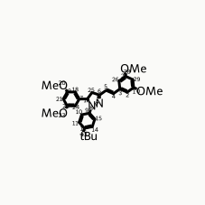 COc1cc(C=CC2=NN(c3ccc(C(C)(C)C)cc3)C(c3cc(OC)cc(OC)c3)C2)cc(OC)c1